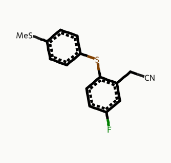 CSc1ccc(Sc2ccc(F)cc2CC#N)cc1